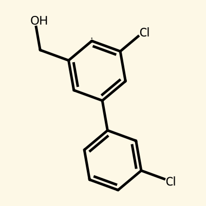 OCc1[c]c(Cl)cc(-c2cccc(Cl)c2)c1